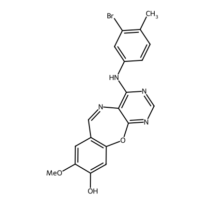 COc1cc2c(cc1O)Oc1ncnc(Nc3ccc(C)c(Br)c3)c1N=C2